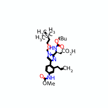 C=CCc1cc(NC(=O)OC)ccc1-c1cn(COCC[Si](C)(C)C)c([C@H](CC(=O)O)NC(=O)OC(C)(C)C)n1